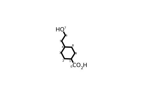 O=C(O)C1CCC(CCO)CC1